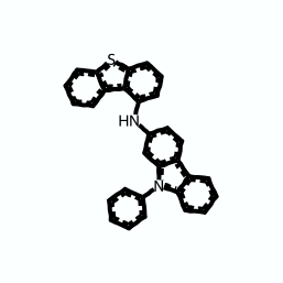 c1ccc(-n2c3ccccc3c3ccc(Nc4cccc5sc6ccccc6c45)cc32)cc1